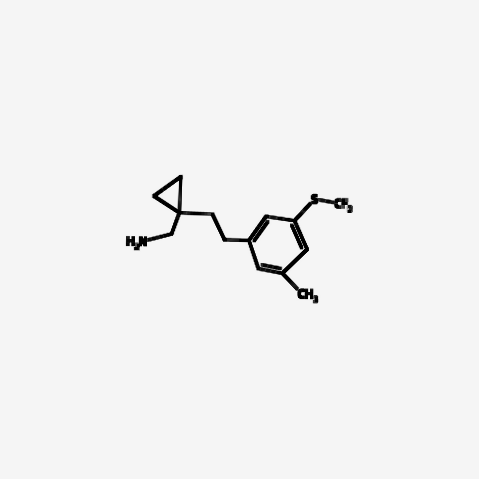 Cc1cc(CCC2(CN)CC2)cc(SC(F)(F)F)c1